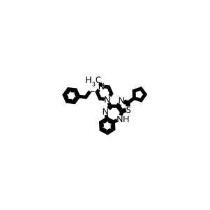 CN1CCN(C2=Nc3ccccc3Nc3sc(C4CCCC4)nc32)C[C@@H]1CCc1ccccc1